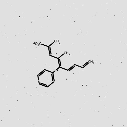 C=CC=CC(=C(C)C=C(C)C(=O)O)c1ccccc1